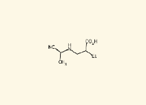 CCC(CNC(C)C#N)C(=O)O